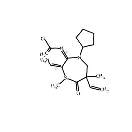 C=CC1(C)CN(C2CCCC2)C(=N/C(=C)Cl)/C(=C\N)N(C)C1=O